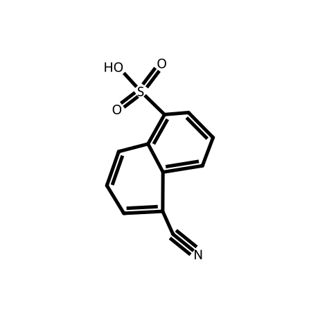 N#Cc1cccc2c(S(=O)(=O)O)cccc12